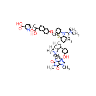 CC(CN1c2ccccc2Sc2ccccc21)N(C)C.CC[C@@H](c1cccc(O)c1)[C@@H](C)CN(C)C.COc1ccc2cc([C@H](C)C(=O)O)ccc2c1.Cn1c(=O)c2c(ncn2C)n(C)c1=O.O=C(O)c1cccnc1